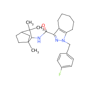 CC12CCC(C1)C(C)(C)C2NC(=O)c1nn(Cc2ccc(F)cc2)c2c1CCCCC2